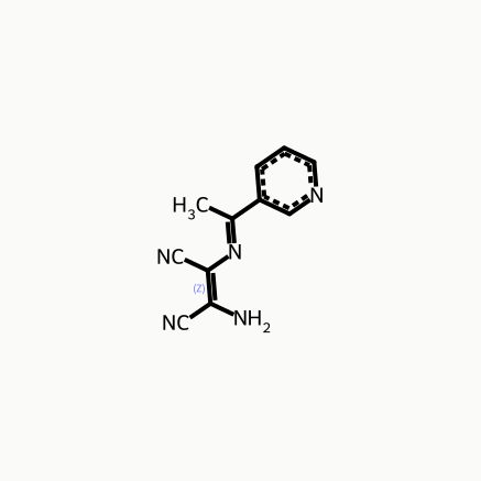 CC(=N/C(C#N)=C(\N)C#N)c1cccnc1